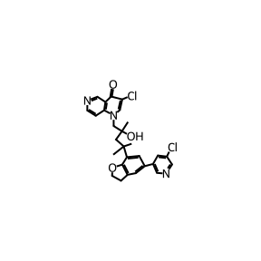 CC(O)(Cn1cc(Cl)c(=O)c2cnccc21)CC(C)(C)c1cc(-c2cncc(Cl)c2)cc2c1OCC2